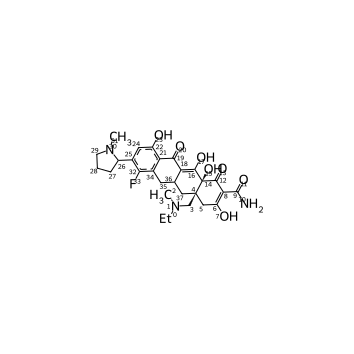 CCN(C)C[C@]12CC(O)=C(C(N)=O)C(=O)[C@@]1(O)C(O)=C1C(=O)c3c(O)cc(C4CCCN4C)c(F)c3CC1C2